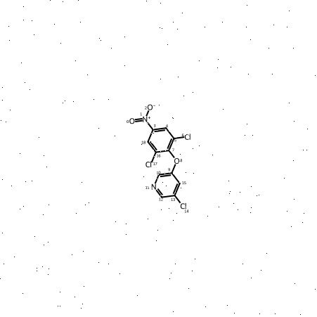 O=[N+]([O-])c1cc(Cl)c(Oc2cncc(Cl)c2)c(Cl)c1